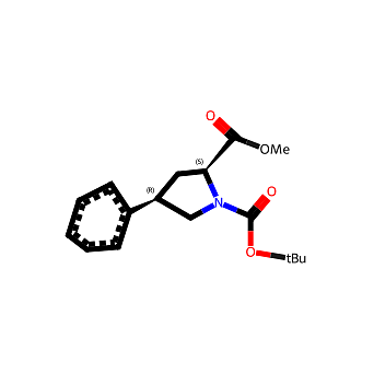 COC(=O)[C@@H]1C[C@H](c2ccccc2)CN1C(=O)OC(C)(C)C